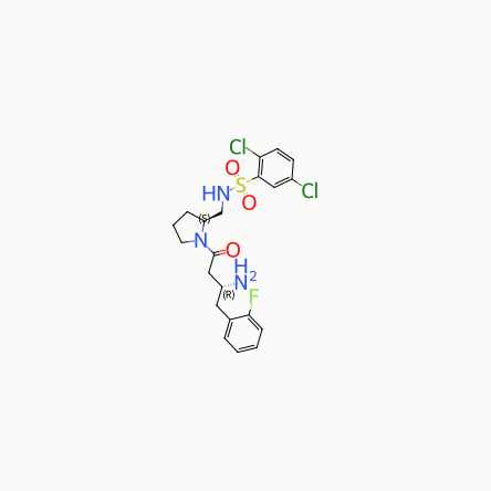 N[C@@H](CC(=O)N1CCC[C@H]1CNS(=O)(=O)c1cc(Cl)ccc1Cl)Cc1ccccc1F